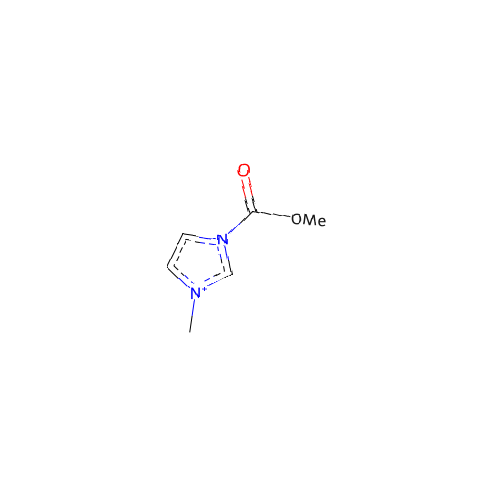 COC(=O)n1cc[n+](C)c1